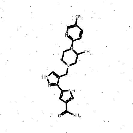 CC1CN(Cc2c[nH]nc2-c2cc(C(N)=O)c[nH]2)CCN1c1ccc(C(F)(F)F)cn1